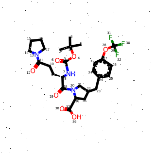 CC(C)(C)OC(=O)N[C@H](CCC(=O)N1CCCC1)C(=O)N1CC(Cc2ccc(OC(F)(F)F)cc2)CC1C(=O)O